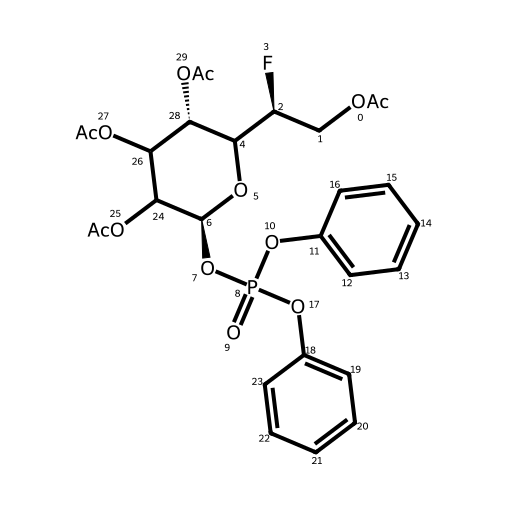 CC(=O)OC[C@H](F)C1O[C@@H](OP(=O)(Oc2ccccc2)Oc2ccccc2)C(OC(C)=O)C(OC(C)=O)[C@@H]1OC(C)=O